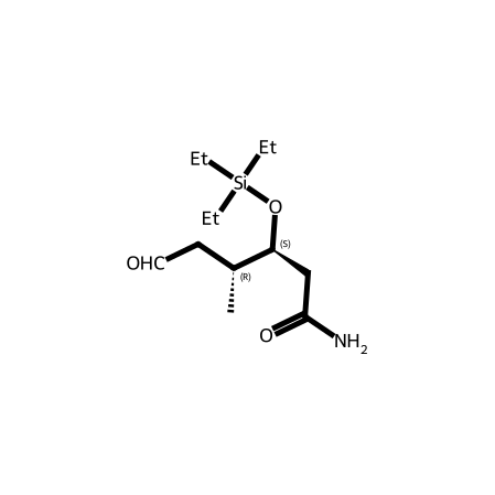 CC[Si](CC)(CC)O[C@@H](CC(N)=O)[C@H](C)CC=O